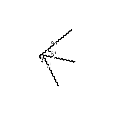 CCCCCCCCCCCCCOC(=O)CCCCC1=C(CCCCC(=O)OCCCCCCCCCCCCC)C(CCCN(CCO)CCCCC(=O)OCCCCCCCCCCCCC)=CC=CN1